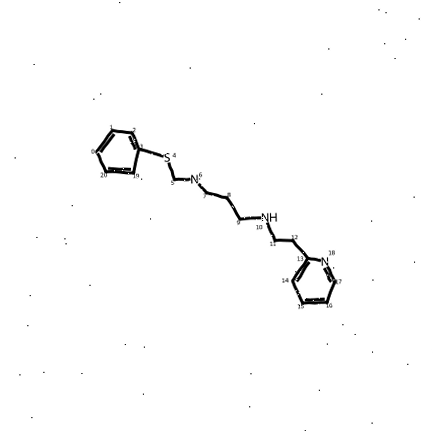 c1ccc(SC[N]CCCNCCc2ccccn2)cc1